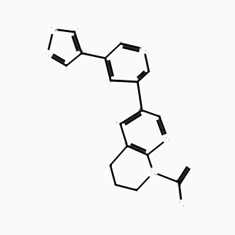 NC(=O)N1CCCc2cc(-c3cncc(-c4cn[nH]c4)c3)cnc21